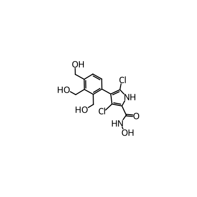 O=C(NO)c1[nH]c(Cl)c(-c2ccc(CO)c(CO)c2CO)c1Cl